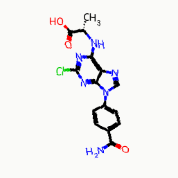 C[C@H](Nc1nc(Cl)nc2c1ncn2-c1ccc(C(N)=O)cc1)C(=O)O